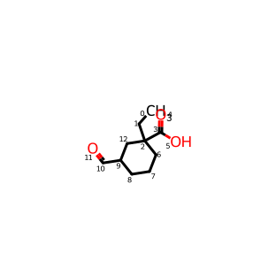 CCC1(C(=O)O)CCCC(C=O)C1